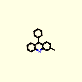 Cc1ccc2c(-c3ccccc3)c3ccccc3nc2c1